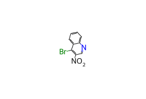 O=[N+]([O-])c1cnc2ccccc2c1Br